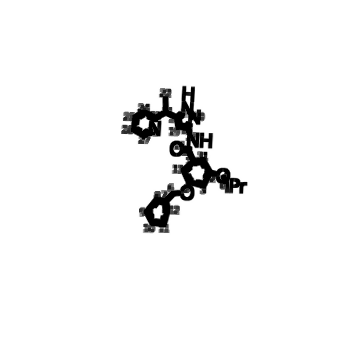 CC(C)Oc1cc(OCc2ccccc2)cc(C(=O)Nc2cc(C(C)c3ccccn3)[nH]n2)c1